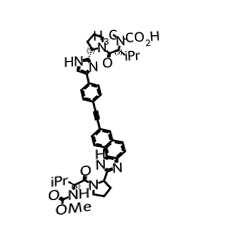 COC(=O)N[C@H](C(=O)N1CCCC1c1nc2ccc3cc(C#Cc4ccc(-c5c[nH]c([C@@H]6CCCN6C(=O)[C@H](C(C)C)N(C)C(=O)O)n5)cc4)ccc3c2[nH]1)C(C)C